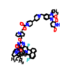 C#Cc1c(F)ccc2cccc(-c3ncc4c(N5CC6CCC(C(C)(C)C)(C5)N6C(=O)O)nc(OC[C@@]56CCCN5[C@H](COC(=O)N5CCC(C7CCN(Cc8ccc9c(c8)n(C)c(=O)n9C8CCC(=O)NC8=O)CC7)CC5)CC6)nc4c3F)c12